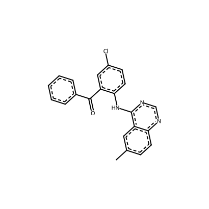 Cc1ccc2ncnc(Nc3ccc(Cl)cc3C(=O)c3ccccc3)c2c1